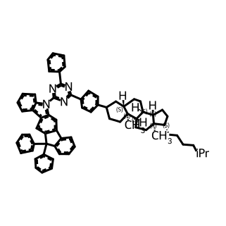 CC(C)CCCC[C@H]1CC[C@H]2[C@@H]3CC[C@H]4CC(c5ccc(-c6nc(-c7ccccc7)nc(-n7c8ccccc8c8cc9c(cc87)-c7ccccc7C9(c7ccccc7)c7ccccc7)n6)cc5)CC[C@]4(C)[C@H]3CC[C@]12C